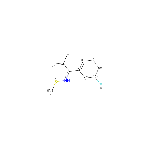 C=C(C)C(NSC(C)(C)C)C1=CCCC(F)=C1